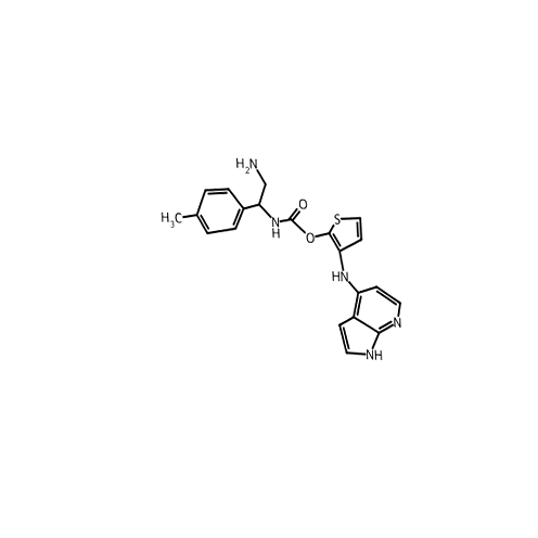 Cc1ccc(C(CN)NC(=O)Oc2sccc2Nc2ccnc3[nH]ccc23)cc1